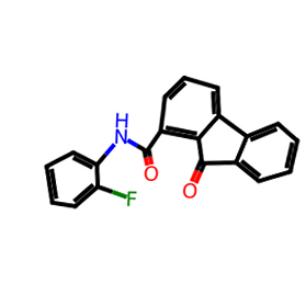 O=C(Nc1ccccc1F)c1cccc2c1C(=O)c1ccccc1-2